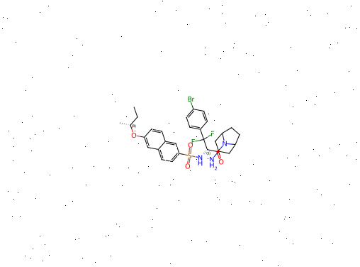 CC[C@@H](C)Oc1ccc2cc(S(=O)(=O)N[C@@H](C(=O)N3C4CCC3CC(N)C4)C(F)(F)c3ccc(Br)cc3)ccc2c1